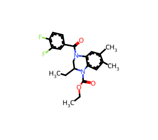 CCOC(=O)N1c2cc(C)c(C)cc2N(C(=O)c2ccc(F)c(F)c2)CC1CC